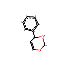 C1=CC(c2ccccc2)OCO1